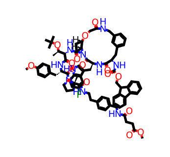 COC(=O)CCC(=O)NCc1ccc(CCNC(=O)[C@]2(C)CCCN2C(=O)[C@H](Cc2ccc(OC)cc2)NC(=O)[C@@H](NC(=O)[C@@H]2[C@@H]3CCN2C(=O)[C@H](Cc2c[nH]c4ccc(F)cc24)NC(=O)[C@@H](NC(=O)OCC2c4ccccc4-c4ccccc42)Cc2cccc(c2)CNC(=O)CO3)[C@@H](C)OC(C)(C)C)cc1